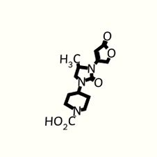 CC1CN(C2CCN(C(=O)O)CC2)C(=O)N1C1=CC(=O)OC1